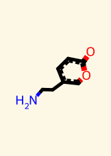 NCCc1ccc(=O)oc1